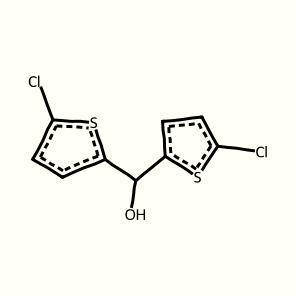 OC(c1ccc(Cl)s1)c1ccc(Cl)s1